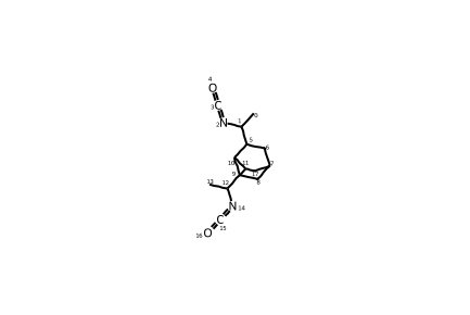 CC(N=C=O)C1CC2CCC1C(C(C)N=C=O)C2